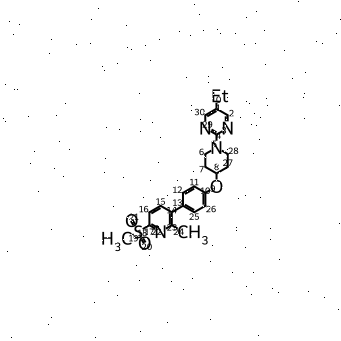 CCc1cnc(N2CCC(Oc3ccc(-c4ccc(S(C)(=O)=O)nc4C)cc3)CC2)nc1